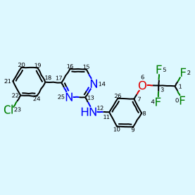 FC(F)C(F)(F)Oc1cccc(Nc2nccc(-c3cccc(Cl)c3)n2)c1